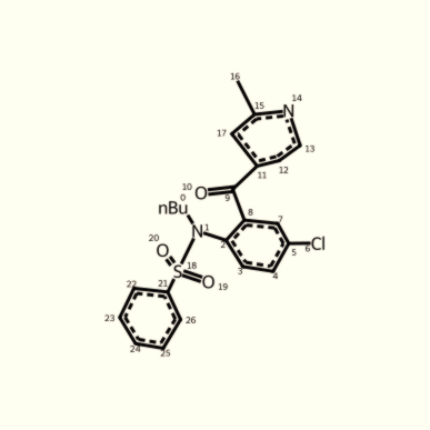 CCCCN(c1ccc(Cl)cc1C(=O)c1ccnc(C)c1)S(=O)(=O)c1ccccc1